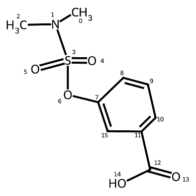 CN(C)S(=O)(=O)Oc1cccc(C(=O)O)c1